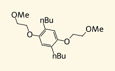 CCCCc1cc(OCCOC)c(CCCC)cc1OCCOC